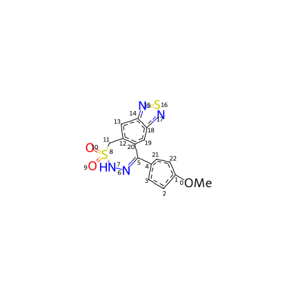 COc1ccc(C2=NNS(=O)(=O)Cc3cc4nsnc4cc32)cc1